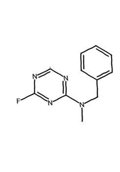 CN(Cc1ccccc1)c1n[c]nc(F)n1